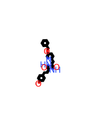 COc1ccc(CC=c2[nH]c(=O)c(=Cc3ccc(OCc4ccccc4)cn3)[nH]c2=O)cc1